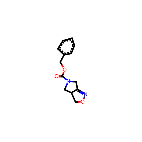 O=C(OCc1ccccc1)N1CC2=NOCC2C1